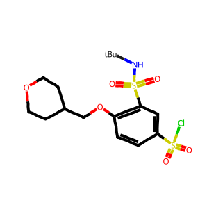 CC(C)(C)NS(=O)(=O)c1cc(S(=O)(=O)Cl)ccc1OCC1CCOCC1